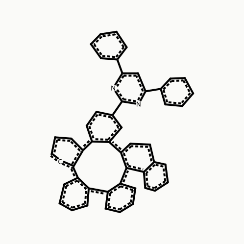 c1ccc(-c2cc(-c3ccccc3)nc(-c3ccc4c5ccccc5c5ccccc5c5ccccc5c5c6ccccc6ccc5c4c3)n2)cc1